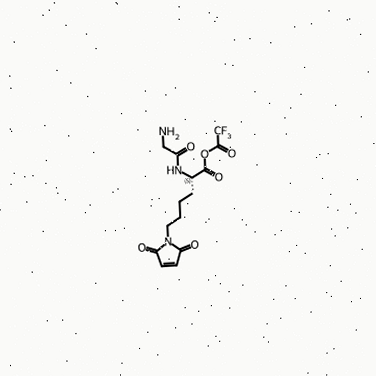 NCC(=O)N[C@@H](CCCCN1C(=O)C=CC1=O)C(=O)OC(=O)C(F)(F)F